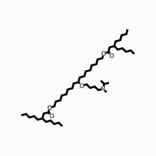 CCCCCC(CCCCC)CC(=O)OCCCCCCCCC(CCCCCCCCOC(=O)CC(CCCCC)CCCCC)OCCCCN(C)C(C)C